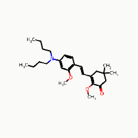 CCCCN(CCCC)c1ccc(C=CC2=C(OC)C(=O)CC(C)(C)C2)c(OC)c1